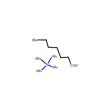 CC(C)(C)CCCCCC(=O)[O-].CCCC[N+](CCCC)(CCCC)CCCC